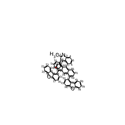 Cc1nc2cccc(-c3c4cccc(-c5cccc6oc7ccccc7c56)c4cc4c(-c5cccc6oc7ccccc7c56)cccc34)c2n1-c1ccccc1